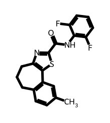 Cc1ccc2c(c1)-c1sc(C(=O)Nc3c(F)cccc3F)nc1CCC2